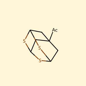 CC(=O)C12CC3SC(C1)SC(C2)S3